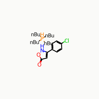 CCCC[PH](CCCC)(CCCC)CCCC.O=c1cc(-c2ccc(Cl)cc2)[nH]o1